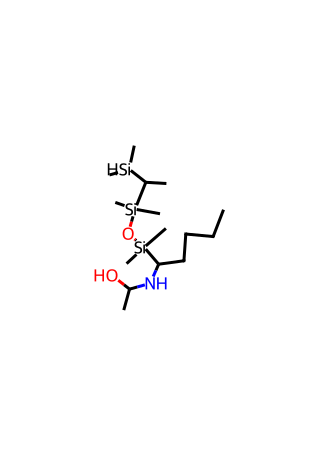 CCCCC(NC(C)O)[Si](C)(C)O[Si](C)(C)C(C)[SiH](C)C